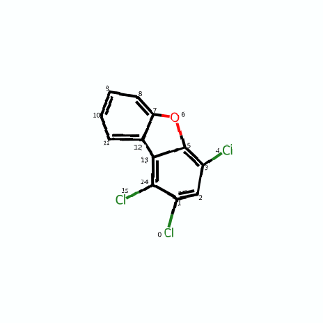 Clc1cc(Cl)c2oc3ccccc3c2c1Cl